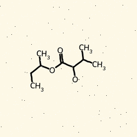 CCC(C)OC(=O)C([O])C(C)C